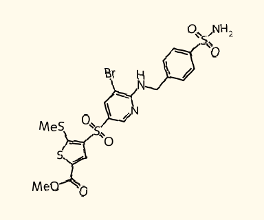 COC(=O)c1cc(S(=O)(=O)c2cnc(NCc3ccc(S(N)(=O)=O)cc3)c(Br)c2)c(SC)s1